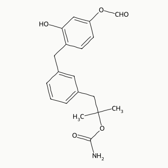 CC(C)(Cc1cccc(Cc2ccc(OC=O)cc2O)c1)OC(N)=O